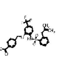 C=C(C)Cc1ccccc1S(=O)(=O)Nc1ccc(C(F)(F)F)cc1OCc1ccc(C(=O)O)cc1